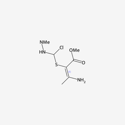 CNNC(Cl)S/C(C(=O)OC)=C(\C)N